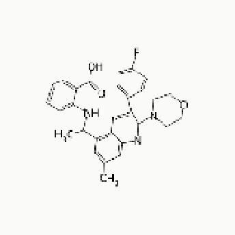 Cc1cc(C(C)Nc2ccccc2C(=O)O)c2cc(-c3ccc(F)cc3)c(N3CCOCC3)nc2c1